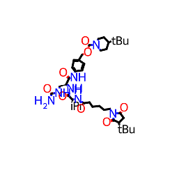 CC(C)[C@H](NC(=O)CCCCCN1C(=O)CC(C(C)(C)C)C1=O)C(=O)N[C@@H](CNC(N)=O)C(=O)Nc1ccc(COC(=O)N2CCC(C(C)(C)C)CC2)cc1